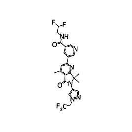 Cc1cc(-c2cncc(C(=O)NCC(F)F)c2)nc2c1C(=O)N(c1cnn(CC(F)(F)F)c1)C2(C)C